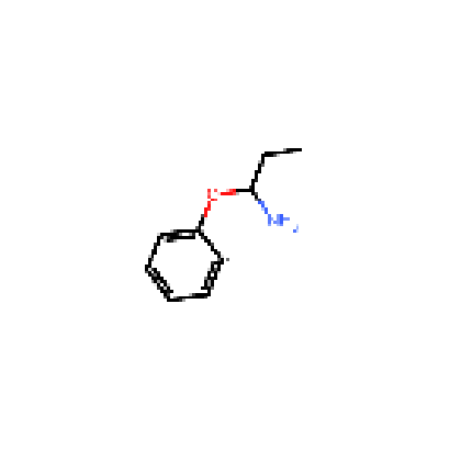 CCC(N)Oc1[c]cccc1